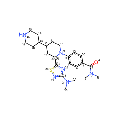 CN(C)C(=O)c1ccc(N2CCC(C3CCNCC3)C[C@@H]2c2nc(N(C)C)ns2)cc1